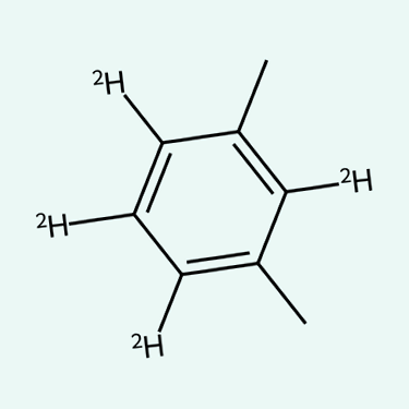 [2H]c1c([2H])c(C)c([2H])c(C)c1[2H]